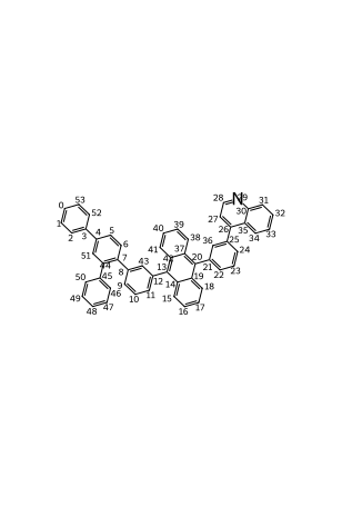 c1ccc(-c2ccc(-c3cccc(-c4c5ccccc5c(-c5cccc(-c6ccnc7ccccc67)c5)c5ccccc45)c3)c(-c3ccccc3)c2)cc1